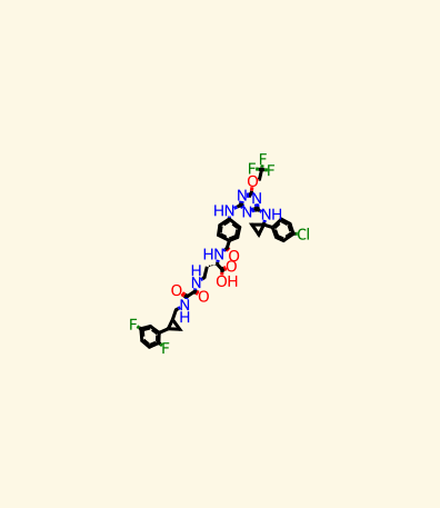 O=C(NCC[C@H](NC(=O)c1ccc(Nc2nc(NC3(c4ccc(Cl)cc4)CC3)nc(OCC(F)(F)F)n2)cc1)C(=O)O)C(=O)NCC1CC1c1cc(F)ccc1F